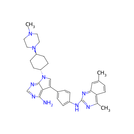 Cc1ccc2c(C)nc(Nc3ccc(-c4cn([C@H]5CC[C@H](N6CCN(C)CC6)CC5)c5ncnc(N)c45)cc3)nc2c1